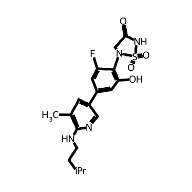 Cc1cc(-c2cc(O)c(N3CC(=O)NS3(=O)=O)c(F)c2)cnc1NCCC(C)C